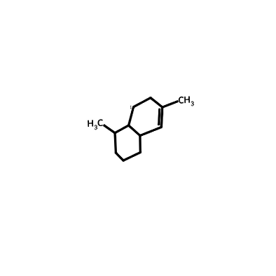 CC1=CC2CCCC(C)C2[C]C1